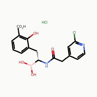 Cl.O=C(Cc1ccnc(Cl)c1)N[C@@H](Cc1cccc(C(=O)O)c1O)B(O)O